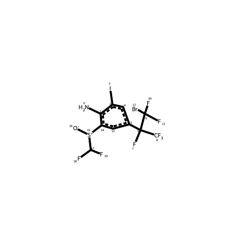 Nc1c(I)cc(C(F)(C(F)(F)F)C(F)(F)Br)cc1[S+]([O-])C(F)F